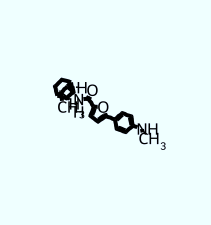 CNc1ccc(-c2ccc(C(=O)N[C@@H]3C4CCC(CC4)[C@H]3C)o2)cc1